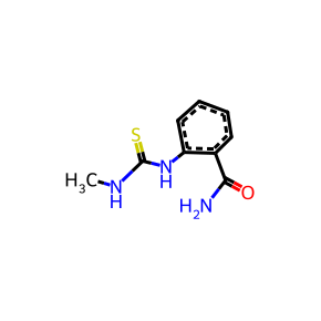 CNC(=S)Nc1ccccc1C(N)=O